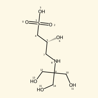 O=S(=O)(O)C[C@H](O)CNC(CO)(CO)CO